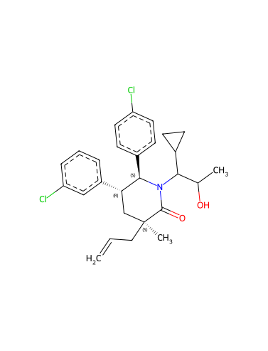 C=CC[C@@]1(C)C[C@H](c2cccc(Cl)c2)[C@@H](c2ccc(Cl)cc2)N(C(C(C)O)C2CC2)C1=O